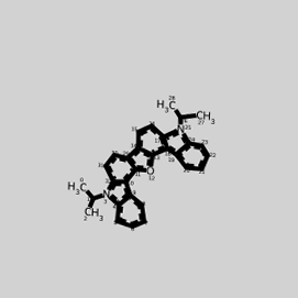 CC(C)n1c2ccccc2c2c3oc4c(ccc5c4c4ccccc4n5C(C)C)c3ccc21